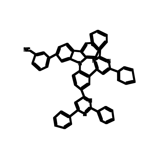 N#Cc1cccc(-c2ccc3c4ccccc4n(-c4ccc(-c5cc(-c6ccccc6)nc(-c6ccccc6)n5)cc4-c4cc(-c5ccccc5)nc(-c5ccccc5)n4)c3c2)c1